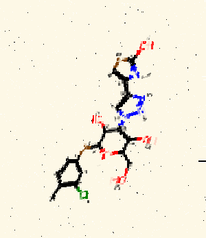 Cc1ccc(SC2OC(CO)C(O)C(n3cc(-c4csc(O)n4)nn3)C2O)cc1Cl